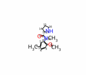 COc1ccc(C)cc1N(C)C(=O)[C@@H]1CCCN1